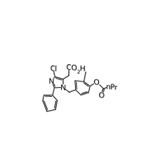 CCCC(=O)Oc1ccc(Cn2c(-c3ccccc3)nc(Cl)c2CC(=O)O)cc1C